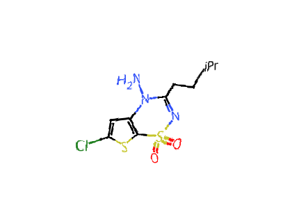 CC(C)CCC1=NS(=O)(=O)c2sc(Cl)cc2N1N